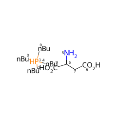 CCCC[PH](CCCC)(CCCC)CCCC.NC(CC(=O)O)C(=O)O